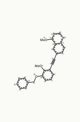 COc1c(C#Cc2ccc3ncnc(OC)c3c2)cccc1OCc1ccccc1